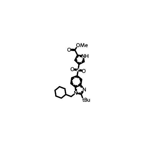 COC(=O)c1cc(S(=O)(=O)c2ccc3c(c2)nc(C(C)(C)C)n3CC2CCCCC2)c[nH]1